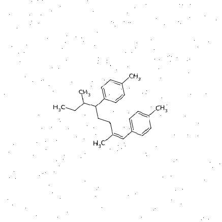 CCC(C)C(CCC(C)=Cc1ccc(C)cc1)c1ccc(C)cc1